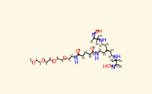 COCCOCCOCCOCCNC(=O)CCCC(=O)NCCC(CCNC(C)(C)/C(C)=N\O)CCNC(C)(C)/C(C)=N\O